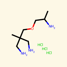 CC(N)COCC(C)(CN)CN.Cl.Cl.Cl